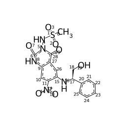 CS(=O)(=O)Nn1c(=O)[nH]c2cc([N+](=O)[O-])c(N[C@@H](CO)c3ccccc3)cc2c1=O